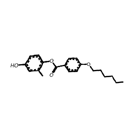 CCCCCCOc1ccc(C(=O)Oc2ccc(O)cc2C)cc1